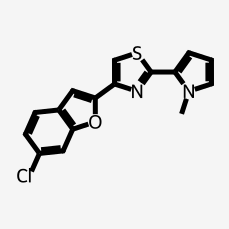 Cn1cccc1-c1nc(-c2cc3ccc(Cl)cc3o2)cs1